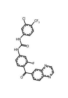 O=C(Nc1ccc(C(=O)c2ccc3nccnc3c2)c(F)c1)Nc1ccc(C(F)(F)F)c(Cl)c1